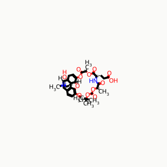 COc1ccc2c3c1O[C@H]1C(OC(=O)[C@H](C)OC(=O)[C@H](CCC(=O)O)NC(=O)[C@H](C)OC(=O)OC(C)(C)C)=CC[C@@]4(O)[C@@H](C2)N(C)CC[C@]314